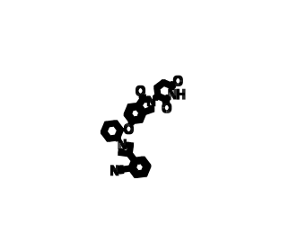 N#Cc1ccccc1C1CN(C2CCCC[C@@H]2Oc2ccc3c(c2)CN(C2CCC(=O)NC2=O)C3=O)C1